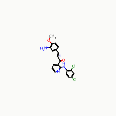 COc1ccc(/C=C/C(=O)c2cccnc2Nc2ccc(Cl)cc2Cl)cc1N